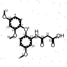 COc1ccc(Oc2ccc(OC)cc2OC)c(NC(=O)CC(=O)O)c1